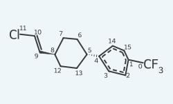 FC(F)(F)c1ccc([C@H]2CC[C@H](/C=C/Cl)CC2)cc1